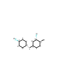 C[C@H]1CCC(C[C@H]2CC[C@H](F)CC2)C[C@@H]1F